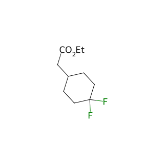 CCOC(=O)CC1CCC(F)(F)CC1